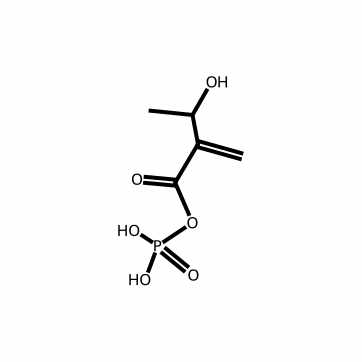 C=C(C(=O)OP(=O)(O)O)C(C)O